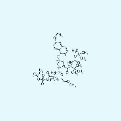 COCC[C@@H]1C[C@]1(NC(=O)[C@@H]1C[C@@H](Oc2nccc3cc(OC)ccc23)CN1C(=O)[C@@H](NC(=O)OC(C)(C)C)C(C)(C)C)C(=O)NS(=O)(=O)OC1(C)CC1